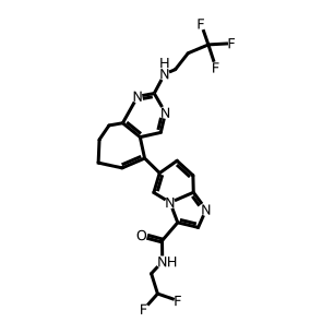 O=C(NCC(F)F)c1cnc2ccc(C3=CCCCc4nc(NCCC(F)(F)F)ncc43)cn12